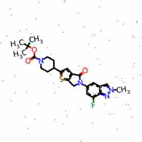 Cn1cc2cc(N3Cc4sc(C5CCN(C(=O)OC(C)(C)C)CC5)cc4C3=O)cc(F)c2n1